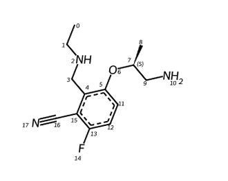 CCNCc1c(O[C@@H](C)CN)ccc(F)c1C#N